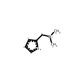 [CH3][Bi]([CH3])[CH2]c1cccs1